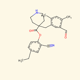 CCc1ccc(OC(=O)C2(Cc3cc(C=O)c(C)cc3C)CCNCC2)c(C#N)c1